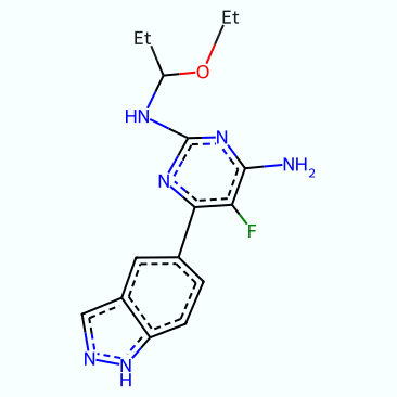 CCOC(CC)Nc1nc(N)c(F)c(-c2ccc3[nH]ncc3c2)n1